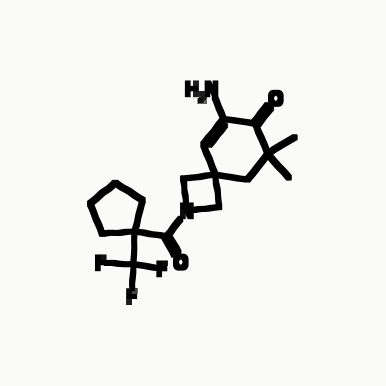 CC1(C)CC2(C=C(N)C1=O)CN(C(=O)C1(C(F)(F)F)CCCC1)C2